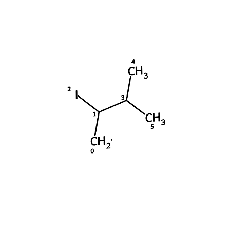 [CH2]C(I)C(C)C